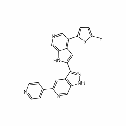 Fc1ccc(-c2cncc3[nH]c(-c4n[nH]c5cnc(-c6ccncc6)cc45)cc23)s1